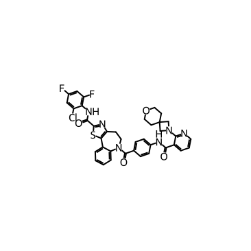 O=C(Nc1c(F)cc(F)cc1Cl)c1nc2c(s1)-c1ccccc1N(C(=O)c1ccc(NC(=O)c3cccnc3N3CC4(CCOCC4)C3)cc1)CC2